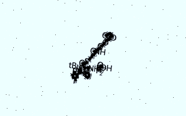 CC(C)(C)[C@H](c1nc(-c2cc(F)ccc2F)cn1Cc1ccccc1)N(CCCN)C(=O)CSCCCCCC(=O)NCCOCCOCCN1C(=O)C=CC1=O.O=C(O)C(F)(F)F